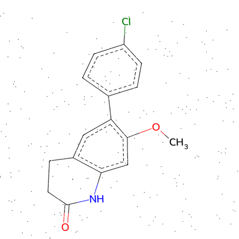 COc1cc2c(cc1-c1ccc(Cl)cc1)CCC(=O)N2